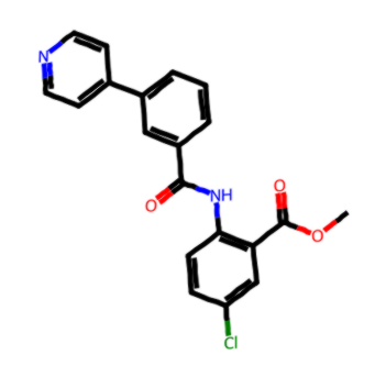 COC(=O)c1cc(Cl)ccc1NC(=O)c1cccc(-c2ccncc2)c1